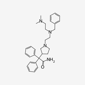 CN(C)CCN(CCN1CCC(C(C(N)=O)(c2ccccc2)c2ccccc2)C1)Cc1ccccc1